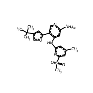 CC(=O)Nc1cc(Nc2cc(C)cc(S(C)(=O)=O)n2)c(-c2cc(C(C)(C)O)co2)cn1